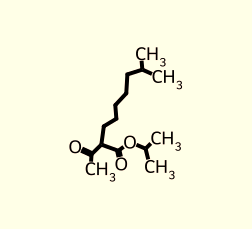 CC(=O)C(CCCCCC(C)C)C(=O)OC(C)C